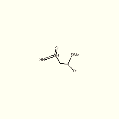 CCC(C[SH](=N)=O)OC